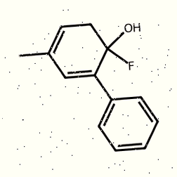 CC1=CCC(O)(F)C(c2ccccc2)=C1